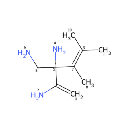 C=C(N)C(N)(CN)C(C)=C(C)C